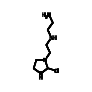 NCCNCCN1CCNC1Cl